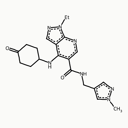 CCn1ncc2c(NC3CCC(=O)CC3)c(C(=O)NCc3cnn(C)c3)cnc21